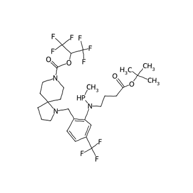 CPN(CCCC(=O)OC(C)(C)C)c1cc(C(F)(F)F)ccc1CN1CCCC12CCN(C(=O)OC(C(F)(F)F)C(F)(F)F)CC2